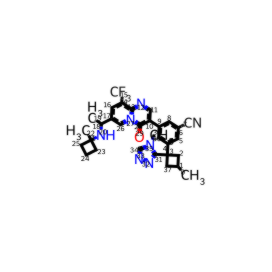 CC1CC(c2cc(C#N)cc(-c3cnc4c(C(F)(F)F)cc(C(C)NC5(C)CCC5)cn4c3=O)c2)(c2nncn2C)C1